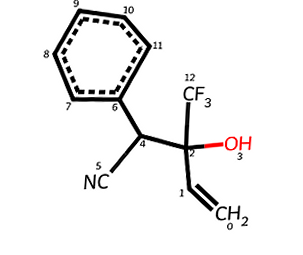 C=CC(O)(C(C#N)c1ccccc1)C(F)(F)F